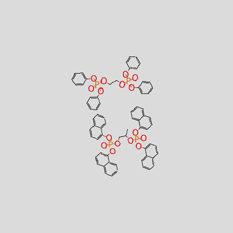 CC(COP(=O)(Oc1cccc2ccccc12)Oc1cccc2ccccc12)OP(=O)(Oc1cccc2ccccc12)Oc1cccc2ccccc12.O=P(OCCOP(=O)(Oc1ccccc1)Oc1ccccc1)(Oc1ccccc1)Oc1ccccc1